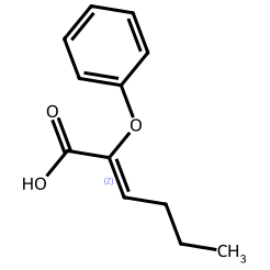 CCC/C=C(\Oc1ccccc1)C(=O)O